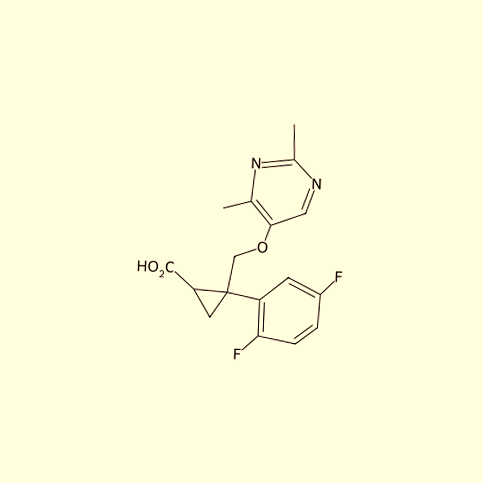 Cc1ncc(OCC2(c3cc(F)ccc3F)CC2C(=O)O)c(C)n1